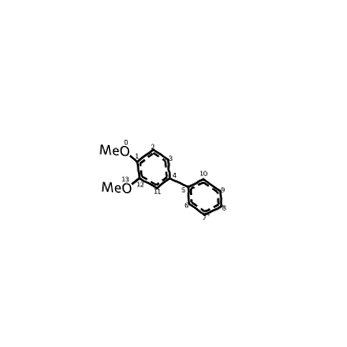 COc1ccc(-c2c[c]ccc2)cc1OC